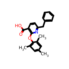 Cc1cc(C)c(Oc2nc(Cc3ccccc3)ccc2C(=O)O)c(C)c1